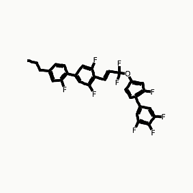 CCCc1ccc(-c2cc(F)c(/C=C/C(F)(F)Oc3ccc(-c4cc(F)c(F)c(F)c4)c(F)c3)c(F)c2)c(F)c1